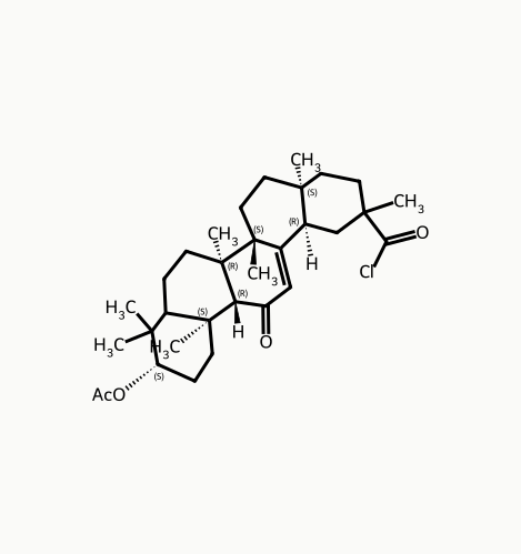 CC(=O)O[C@H]1CC[C@@]2(C)C(CC[C@]3(C)[C@@H]2C(=O)C=C2[C@@H]4CC(C)(C(=O)Cl)CC[C@]4(C)CC[C@]23C)C1(C)C